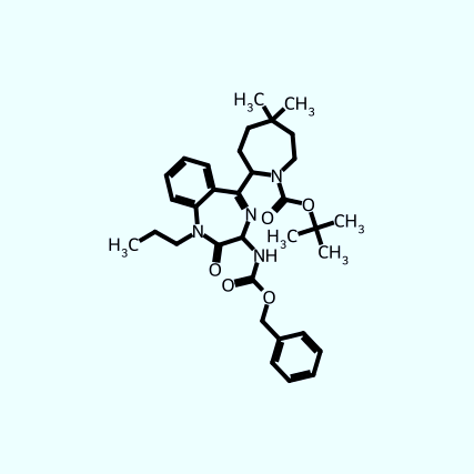 CCCN1C(=O)C(NC(=O)OCc2ccccc2)N=C(C2CCC(C)(C)CCN2C(=O)OC(C)(C)C)c2ccccc21